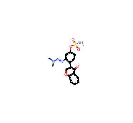 CN(C)N=Nc1cc(OS(N)(=O)=O)ccc1-c1coc2ccccc2c1=O